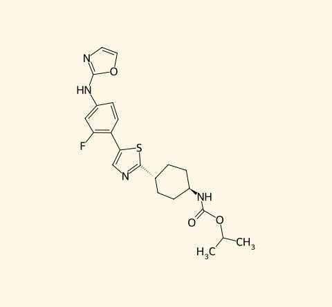 CC(C)OC(=O)N[C@H]1CC[C@H](c2ncc(-c3ccc(Nc4ncco4)cc3F)s2)CC1